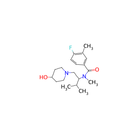 Cc1cc(C(=O)N(C)C(CN2CCC(O)CC2)C(C)C)ccc1F